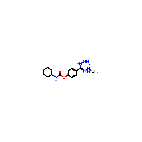 CN/N=C(\NN)c1ccc(OC(=O)NC2CCCCC2)cc1